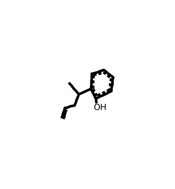 C=CCC(C)c1ccccc1O